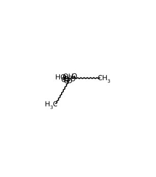 CCCCCCCCCCCCCCCCC(=O)OC[C@H](COP(=O)(O)O)OC(=O)CCCCCCCCCCCCCCCC